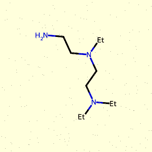 CCN(CC)CCN(CC)CCN